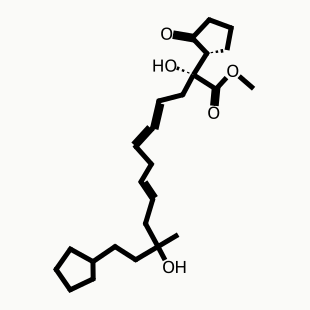 COC(=O)[C@@](O)(CC=C=CC/C=C/CC(C)(O)CCC1CCCC1)[C@H]1CCCC1=O